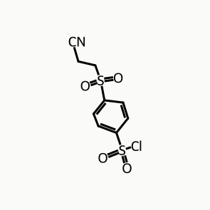 N#CCCS(=O)(=O)c1ccc(S(=O)(=O)Cl)cc1